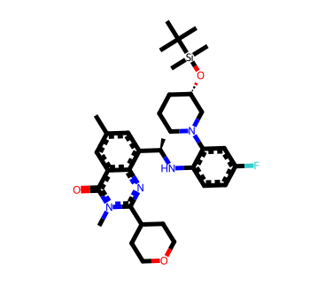 Cc1cc([C@@H](C)Nc2ccc(F)cc2N2CCC[C@H](O[Si](C)(C)C(C)(C)C)C2)c2nc(C3CCOCC3)n(C)c(=O)c2c1